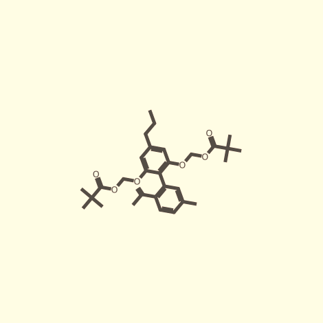 C=C(C)c1ccc(C)cc1-c1c(OCOC(=O)C(C)(C)C)cc(CCC)cc1OCOC(=O)C(C)(C)C